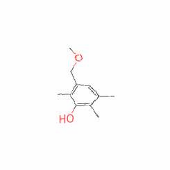 COCc1cc(C)c(C)c(O)c1C